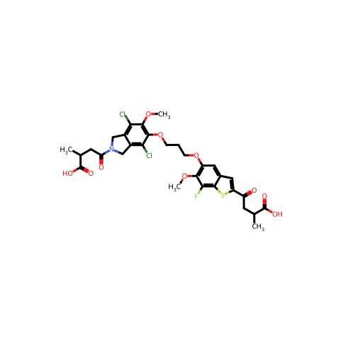 COc1c(Cl)c2c(c(Cl)c1OCCCOc1cc3cc(C(=O)CC(C)C(=O)O)sc3c(F)c1OC)CN(C(=O)CC(C)C(=O)O)C2